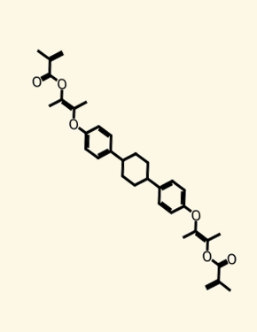 C=C(C)C(=O)O/C(C)=C(\C)Oc1ccc(C2CCC(c3ccc(O/C(C)=C(\C)OC(=O)C(=C)C)cc3)CC2)cc1